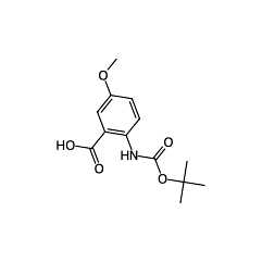 COc1ccc(NC(=O)OC(C)(C)C)c(C(=O)O)c1